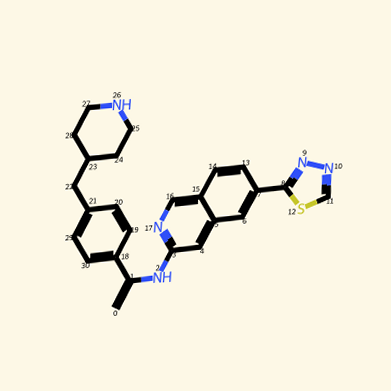 C=C(Nc1cc2cc(-c3nncs3)ccc2cn1)c1ccc(CC2CCNCC2)cc1